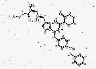 CCOC(=O)/C(C)=C\C(C)=C\c1csc([C@H](Cc2ccc(OCc3ccccc3)cc2)NC(=O)C2CCCCC2=O)n1